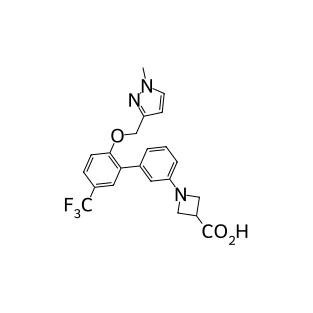 Cn1ccc(COc2ccc(C(F)(F)F)cc2-c2cccc(N3CC(C(=O)O)C3)c2)n1